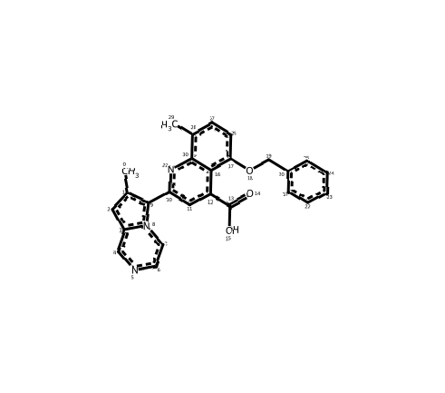 Cc1cc2cnccn2c1-c1cc(C(=O)O)c2c(OCc3ccccc3)ccc(C)c2n1